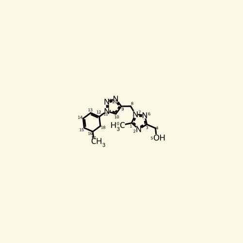 Cc1nc(CO)nn1Cc1cn(C2=CC=CC(C)C2)nn1